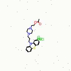 CC(=O)OCCN1CCN(CCCN2c3ccccc3Sc3ccc(Cl)cc32)CC1.Cl.Cl